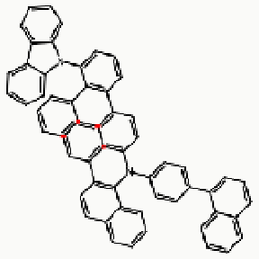 c1ccc(-c2ccc3ccccc3c2N(c2ccc(-c3cccc(-n4c5ccccc5c5ccccc54)c3-c3ccccc3)cc2)c2ccc(-c3cccc4ccccc34)cc2)cc1